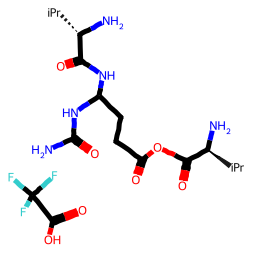 CC(C)[C@H](N)C(=O)NC(CCC(=O)OC(=O)[C@@H](N)C(C)C)NC(N)=O.O=C(O)C(F)(F)F